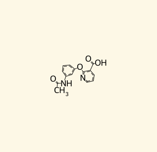 CC(=O)Nc1cccc(Oc2ncccc2C(=O)O)c1